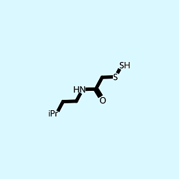 CC(C)CCNC(=O)CSS